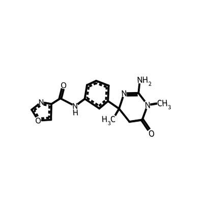 CN1C(=O)CC(C)(c2cccc(NC(=O)c3cocn3)c2)N=C1N